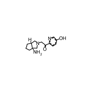 N[C@@]12CCC[C@@H]1CN(CC(=O)c1ccc(O)cn1)C2